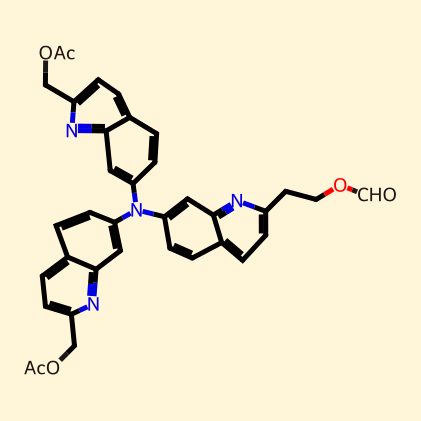 CC(=O)OCc1ccc2ccc(N(c3ccc4ccc(CCOC=O)nc4c3)c3ccc4ccc(COC(C)=O)nc4c3)cc2n1